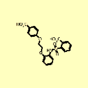 O=C(O)c1ccc(OCCOc2ccccc2NS(=O)(=O)c2ccccc2C(=O)O)cc1